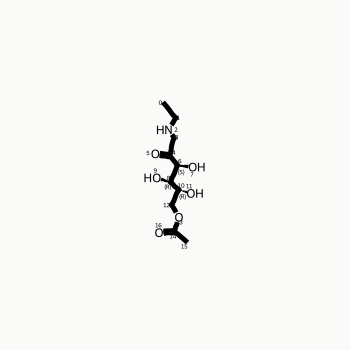 CCNCC(=O)[C@@H](O)[C@H](O)[C@H](O)COC(C)=O